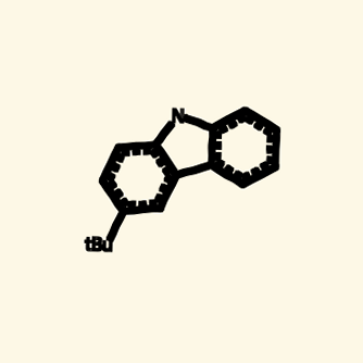 CC(C)(C)c1ccc2c(c1)-c1ccccc1[N]2